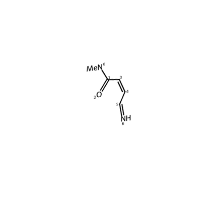 CNC(=O)/C=C\C=N